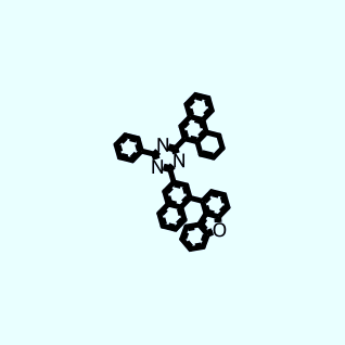 C1=Cc2c(-c3nc(-c4ccccc4)nc(-c4cc(-c5cccc6oc7ccccc7c56)c5ccccc5c4)n3)cc3ccccc3c2CC1